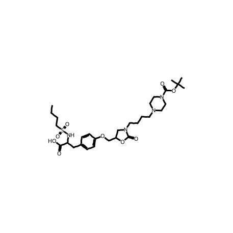 CCCCS(=O)(=O)NC(Cc1ccc(OCC2CN(CCCCN3CCN(C(=O)OC(C)(C)C)CC3)C(=O)O2)cc1)C(=O)O